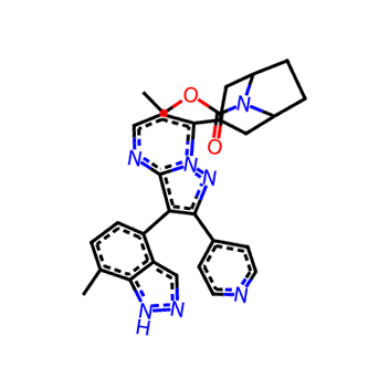 CCOC(=O)N1C2CCC1CC(c1ccnc3c(-c4ccc(C)c5[nH]ncc45)c(-c4ccncc4)nn13)C2